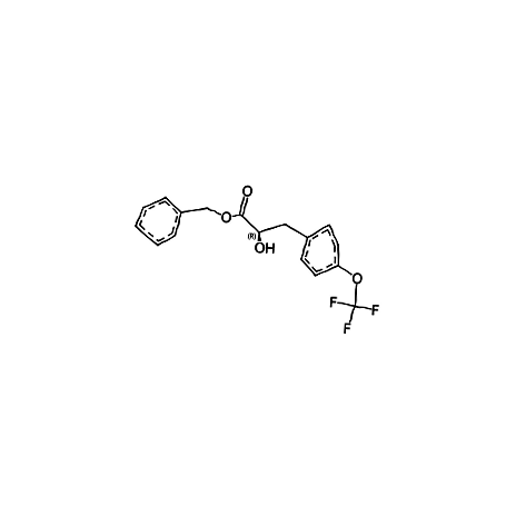 O=C(OCc1ccccc1)[C@H](O)Cc1ccc(OC(F)(F)F)cc1